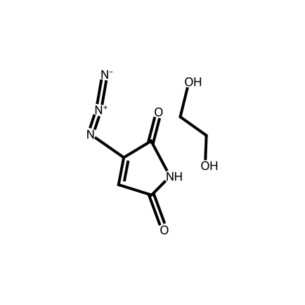 OCCO.[N-]=[N+]=NC1=CC(=O)NC1=O